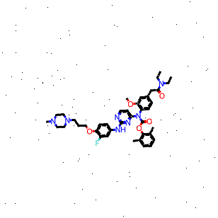 CCN(CC)C(=O)Cc1ccc(N(C(=O)Oc2c(C)cccc2C)c2ccnc(Nc3ccc(OCCCN4CCN(C)CC4)c(F)c3)n2)c(OC)c1